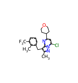 Cc1nn2c(Cl)cc(C3CCOCC3)nc2c1Cc1cccc(C(F)(F)F)c1C